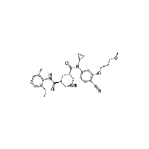 CCc1cccc(C)c1NC(=O)[C@@H]1CNC[C@H](C(=O)N(c2ccc(C#N)c(OCCCOC)c2)C2CC2)C1